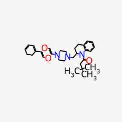 CC(C)(C)CC(=O)N1c2ccccc2CCC1CN1CCN(C2=COC(C3=CC=CCC3)=CO2)CC1